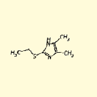 CCSc1nc(C)c(C)[nH]1